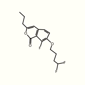 CCCc1cc2ccc(OCCCC(F)F)c(F)c2c(=O)o1